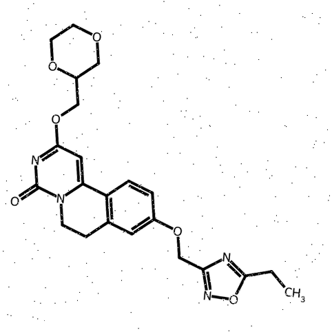 CCc1nc(COc2ccc3c(c2)CCn2c-3cc(OCC3COCCO3)nc2=O)no1